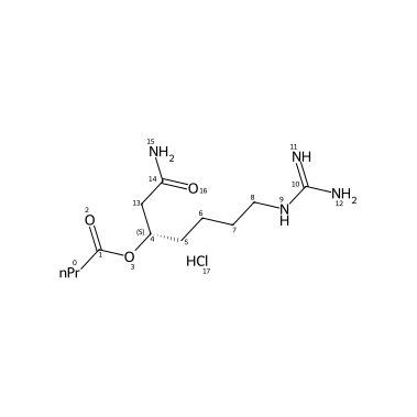 CCCC(=O)O[C@@H](CCCCNC(=N)N)CC(N)=O.Cl